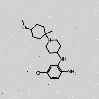 CO[C@H]1CC[C@](C)(N2CCC(Nc3cc(Cl)ccc3N)CC2)CC1